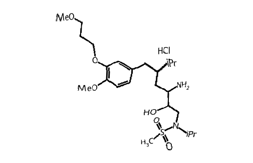 COCCCOc1cc(CC(CC(N)C(O)CN(C(C)C)S(C)(=O)=O)C(C)C)ccc1OC.Cl